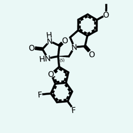 COc1ccc2c(c1)C(=O)N(C[C@@]1(c3cc4cc(F)cc(F)c4o3)NC(=O)NC1=O)C2